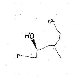 CCCCC(C)[C@H](O)CF